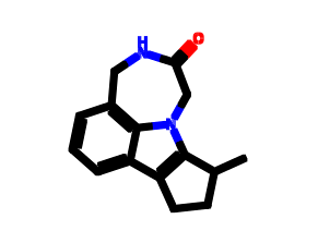 CC1CCc2c1n1c3c(cccc23)CNC(=O)C1